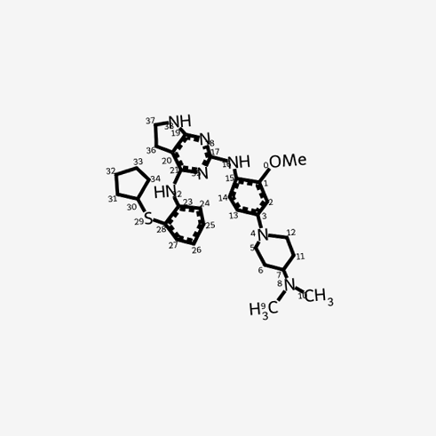 COc1cc(N2CCC(N(C)C)CC2)ccc1Nc1nc2c(c(Nc3ccccc3SC3CCCC3)n1)CCN2